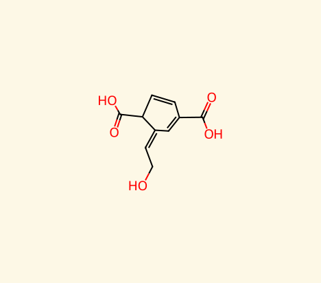 O=C(O)C1=CC(=CCO)C(C(=O)O)C=C1